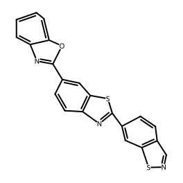 c1ccc2oc(-c3ccc4nc(-c5ccc6cnsc6c5)sc4c3)nc2c1